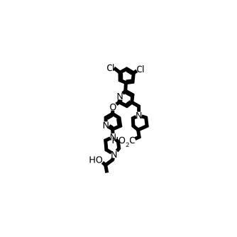 CC(O)CN1CCN(c2ccc(Oc3cc(CN4CCC(CC(=O)O)CC4)cc(-c4cc(Cl)cc(Cl)c4)n3)cn2)CC1